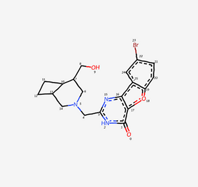 O=c1[nH]c(CN2CC(CO)C3CCC3C2)nc2c1oc1ccc(Br)cc12